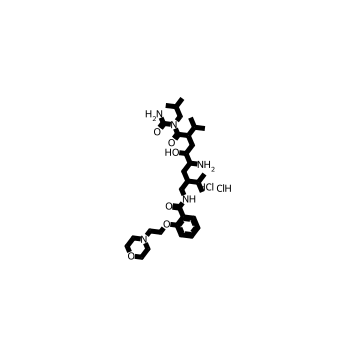 CC(C)CN(C(N)=O)C(=O)C(CC(O)C(N)CC(CNC(=O)c1ccccc1OCCN1CCOCC1)C(C)C)C(C)C.Cl.Cl